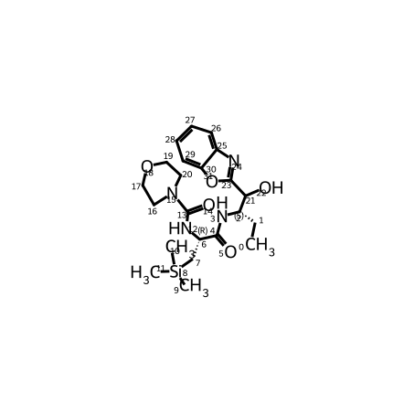 CC[C@H](NC(=O)[C@H](C[Si](C)(C)C)NC(=O)N1CCOCC1)C(O)c1nc2ccccc2o1